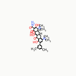 Cc1cc(C)cc(-c2cc(N(C)C)c3c(c2O)C(=O)C2=C(O)[C@@]4(O)C(=O)C(C(N)=O)=C(O)[C@@H](N(C)C)[C@H]4C[C@H]2C3)c1